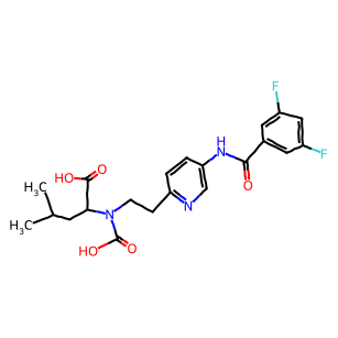 CC(C)CC(C(=O)O)N(CCc1ccc(NC(=O)c2cc(F)cc(F)c2)cn1)C(=O)O